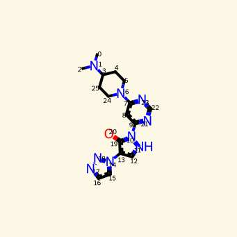 CN(C)C1CCN(c2cc(-n3[nH]cc(-n4ccnn4)c3=O)ncn2)CC1